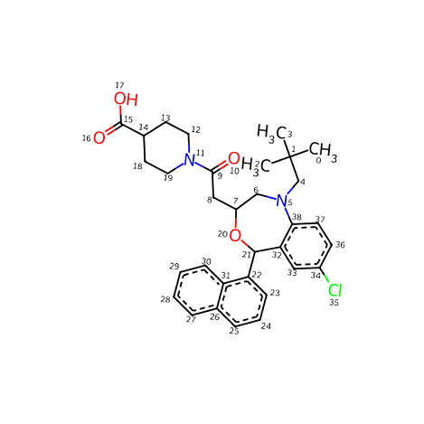 CC(C)(C)CN1CC(CC(=O)N2CCC(C(=O)O)CC2)OC(c2cccc3ccccc23)c2cc(Cl)ccc21